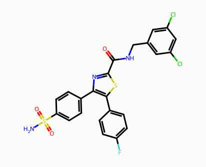 NS(=O)(=O)c1ccc(-c2nc(C(=O)NCc3cc(Cl)cc(Cl)c3)sc2-c2ccc(F)cc2)cc1